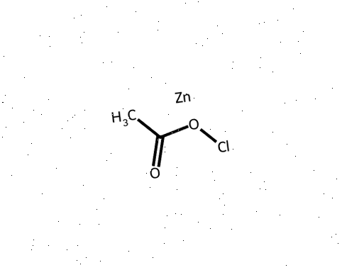 CC(=O)OCl.[Zn]